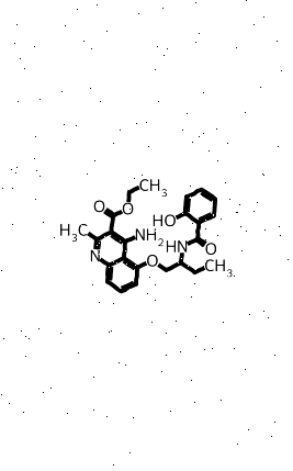 CCOC(=O)c1c(C)nc2cccc(OCC(CC)NC(=O)c3ccccc3O)c2c1N